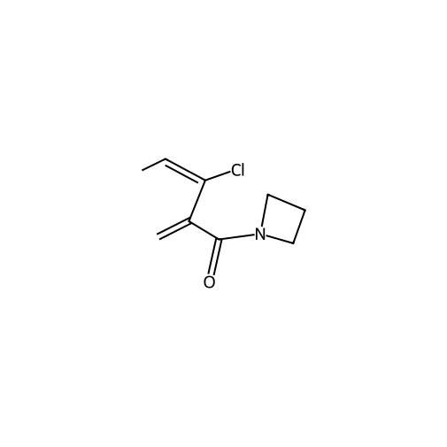 C=C(C(=O)N1CCC1)/C(Cl)=C\C